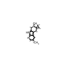 Cc1cnc2[nH]c3c(c2c1)CC1(CC1)N(C)C3